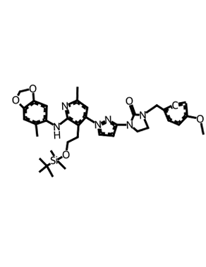 COc1ccc(CN2CCN(c3ccn(-c4cc(C)nc(Nc5cc6c(cc5C)OCO6)c4CCO[Si](C)(C)C(C)(C)C)n3)C2=O)cc1